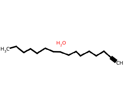 C#CCCCCCCCCCCCCCC.O